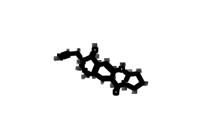 N#CCn1nnc2cc3c(cc2c1=O)OC1CCCN1C3=O